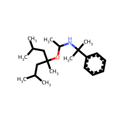 CC(C)CC(C)(CC(C)C)OC(C)NC(C)(C)c1ccccc1